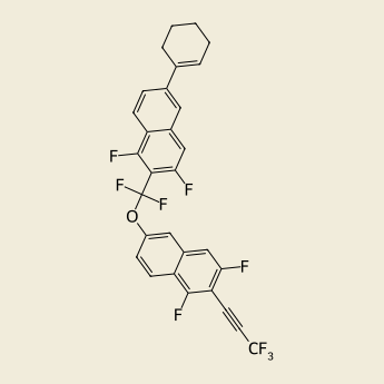 Fc1cc2cc(OC(F)(F)c3c(F)cc4cc(C5=CCCCC5)ccc4c3F)ccc2c(F)c1C#CC(F)(F)F